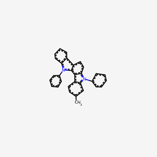 Cc1ccc2c3c(ccc4c5ccccc5n(-c5ccccc5)c43)n(-c3ccccc3)c2c1